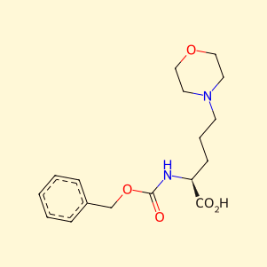 O=C(N[C@@H](CCCN1CCOCC1)C(=O)O)OCc1ccccc1